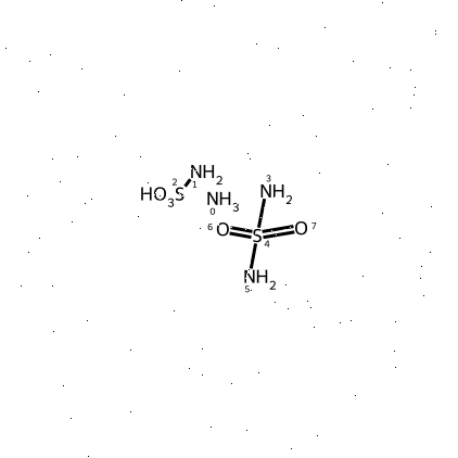 N.NS(=O)(=O)O.NS(N)(=O)=O